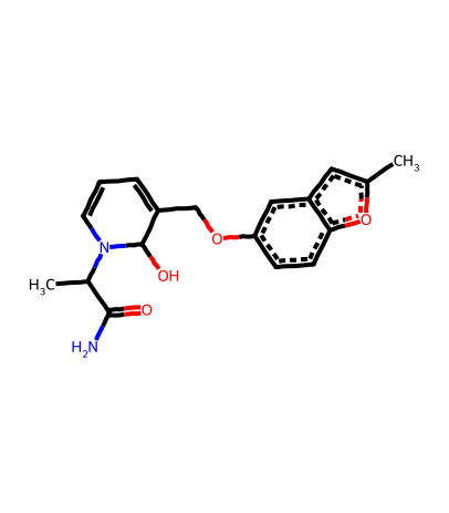 Cc1cc2cc(OCC3=CC=CN(C(C)C(N)=O)C3O)ccc2o1